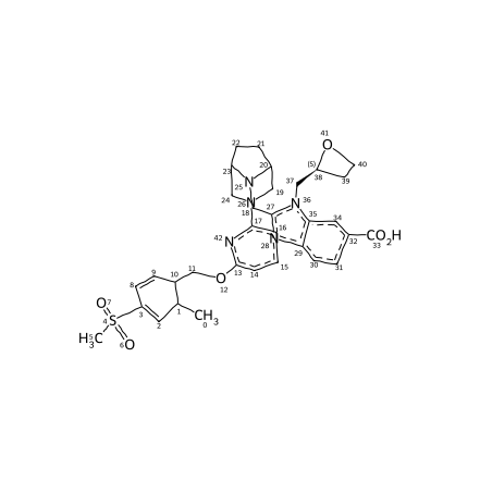 CC1C=C(S(C)(=O)=O)C=CC1COc1cccc(N2CC3CCC(C2)N3Cc2nc3ccc(C(=O)O)cc3n2C[C@@H]2CCO2)n1